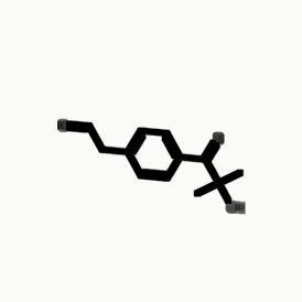 CC(C)(O)C(=O)c1ccc(CC=O)cc1